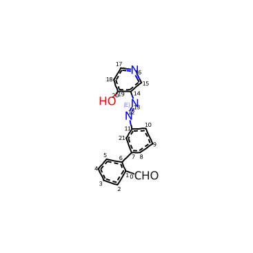 O=Cc1ccccc1-c1cccc(/N=N/c2cnccc2O)c1